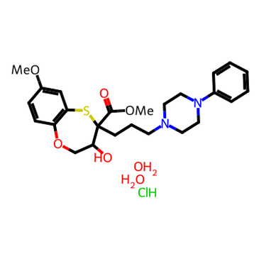 COC(=O)C1(CCCN2CCN(c3ccccc3)CC2)Sc2cc(OC)ccc2OCC1O.Cl.O.O